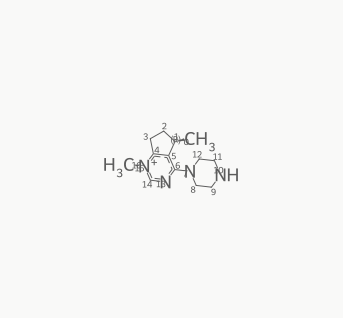 C[C@@H]1CCc2c1c(N1CCNCC1)nc[n+]2C